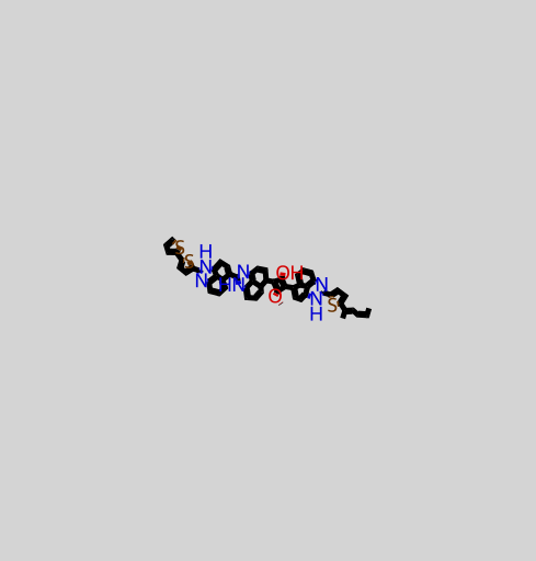 C/C=C\C=C(/C)c1ccc(C2=Nc3cccc4c(C5=C(O)C(C6C=CC7=C8C(=CC=CC86)NC(c6ccc8c9c(cccc69)N=C(c6ccc(-c9cccs9)s6)N8)=N7)=C5OC)ccc(c34)N2)s1